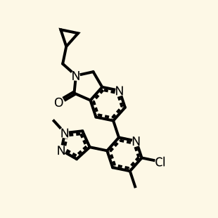 Cc1cc(-c2cnn(C)c2)c(-c2cnc3c(c2)C(=O)N(CC2CC2)C3)nc1Cl